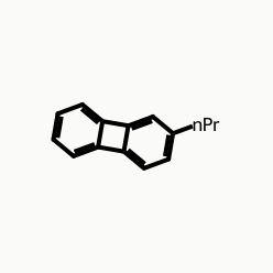 CCCc1ccc2c(c1)-c1ccccc1-2